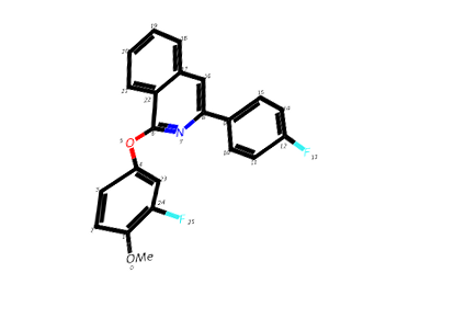 COc1ccc(Oc2nc(-c3ccc(F)cc3)cc3ccccc23)cc1F